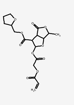 C=CC(=O)OCC(=O)OC1OC2C(C)OC(=O)C2C1C(=O)OCC1CCCO1